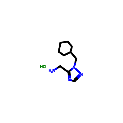 Cl.NCc1ncnn1CC1CCCCC1